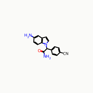 N#Cc1ccc(C(C(N)=O)n2ccc3cc(N)ccc32)cc1